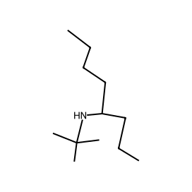 CCCCC(CCC)NC(C)(C)C